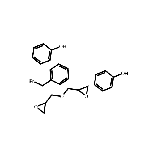 C(OCC1CO1)C1CO1.CC(C)Cc1ccccc1.Oc1ccccc1.Oc1ccccc1